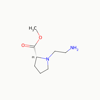 COC(=O)[C@H]1CCCN1CCN